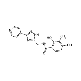 Cc1c(O)ccc(C(=O)NCc2nc(-c3ccncc3)n[nH]2)c1O